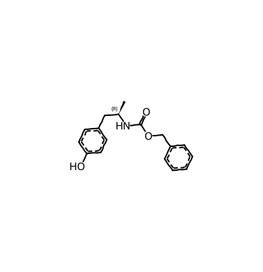 C[C@H](Cc1ccc(O)cc1)NC(=O)OCc1ccccc1